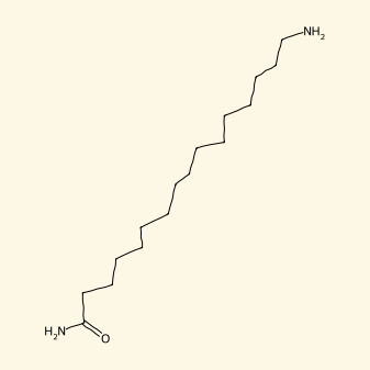 NCCCCCCCCCCCCCCCC(N)=O